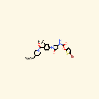 CNCC1CCN(C(=O)c2ccc(N3CC(NC(=O)Oc4ccc(Br)s4)CC3=O)cc2C)CC1